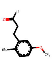 CCC(=O)CCc1cc(OC(F)(F)F)ccc1C(C)(C)C